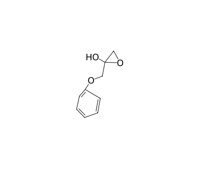 OC1(COc2ccccc2)CO1